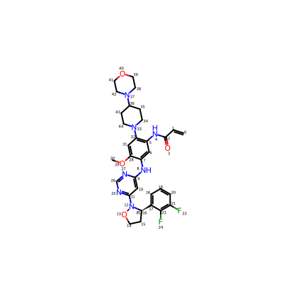 C=CC(=O)Nc1cc(Nc2cc(N3OCC[C@@H]3c3cccc(F)c3F)ncn2)c(OC)cc1N1CCC(N2CCOCC2)CC1